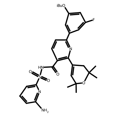 CC(C)COc1cc(F)cc(-c2ccc(C(=O)NS(=O)(=O)c3cccc(N)n3)c(C3=CC(C)(C)OC(C)(C)C3)n2)c1